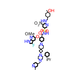 COc1nc2[nH]cc(F)c2cc1Oc1cc(N2CCC3(CC2)CC(N2CCN(Cc4ccnc(C)c4)C[C@H]2c2ccccc2C(C)C)C3)ccc1C(=O)NS(=O)(=O)c1cnc(NCC2CCC(C)(O)CC2)c([N+](=O)[O-])c1